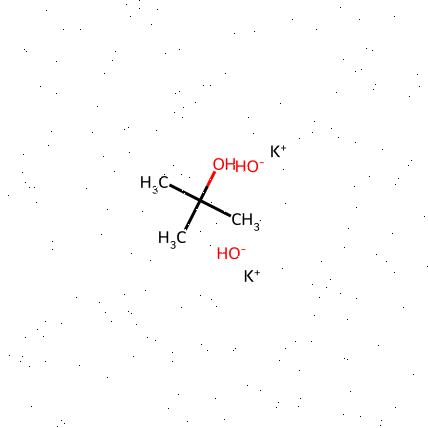 CC(C)(C)O.[K+].[K+].[OH-].[OH-]